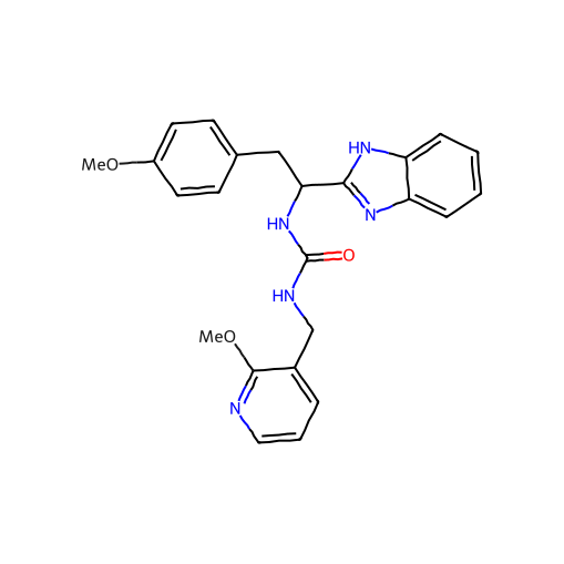 COc1ccc(CC(NC(=O)NCc2cccnc2OC)c2nc3ccccc3[nH]2)cc1